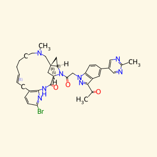 CC(=O)c1nn(CC(=O)N2[C@H]3C[C@]4(C[C@@H]24)CN(C)CCCC/C=C/Cc2ccc(Br)nc2NC3=O)c2ccc(-c3cnc(C)nc3)cc12